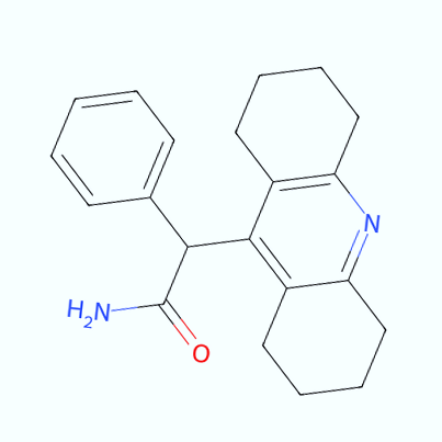 NC(=O)C(c1ccccc1)c1c2c(nc3c1CCCC3)CCCC2